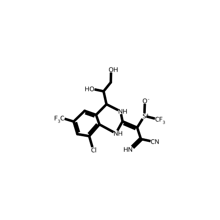 N#CC(=N)/C(=C1\Nc2c(Cl)cc(C(F)(F)F)cc2C(C(O)CO)N1)[S+]([O-])C(F)(F)F